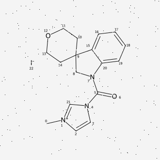 C[n+]1ccn(C(=O)N2CC3(CCOCC3)c3ccccc32)c1.[I-]